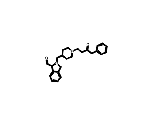 O=CC1c2ccccc2CN1CC1CCN(CCC(=O)Cc2ccccc2)CC1